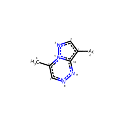 CC(=O)c1cnn2c(C)cnnc12